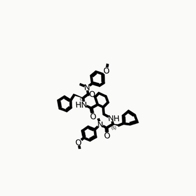 COc1ccc(N(C)C(=O)[C@H](Cc2ccccc2)NCC2CCCCC2C(=O)N[C@@H](Cc2ccccc2)C(=O)N(C)c2ccc(OC)cc2)cc1